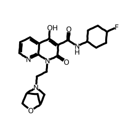 O=C(NC1CCC(F)CC1)c1c(O)c2cccnc2n(CCN2CC3CC2CO3)c1=O